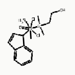 C[Si](C)(CCO)[Ti]([CH3])(=[O])([SiH3])([Cl])([Cl])[CH]1C=Cc2ccccc21